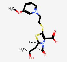 COc1ccc[n+](CCSC2=C(C(=O)[O-])N3C(=O)[C@H]([C@@H](C)O)[C@H]3S2)c1